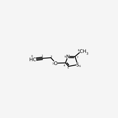 C#CCOc1csc(C)n1